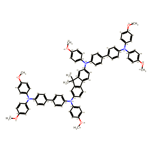 COc1ccc(N(c2ccc(OC)cc2)c2ccc(-c3ccc(N(c4ccc(OC)cc4)c4ccc5c(c4)C(C)(C)c4cc(N(c6ccc(OC)cc6)c6ccc(-c7ccc(N(c8ccc(OC)cc8)c8ccc(OC)cc8)cc7)cc6)ccc4-5)cc3)cc2)cc1